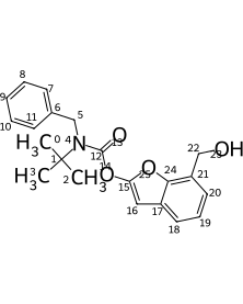 CC(C)(C)N(Cc1ccccc1)C(=O)Oc1cc2cccc(CO)c2o1